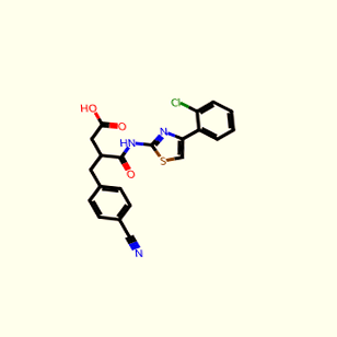 N#Cc1ccc(CC(CC(=O)O)C(=O)Nc2nc(-c3ccccc3Cl)cs2)cc1